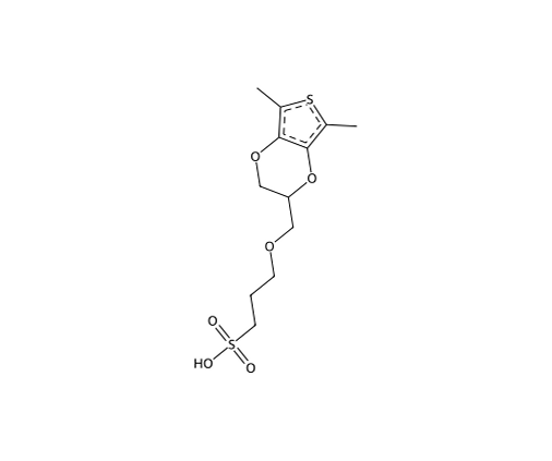 Cc1sc(C)c2c1OCC(COCCCS(=O)(=O)O)O2